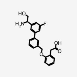 NC(CO)c1cc(F)cc(-c2cccc(COc3ccccc3CC(=O)O)c2)c1